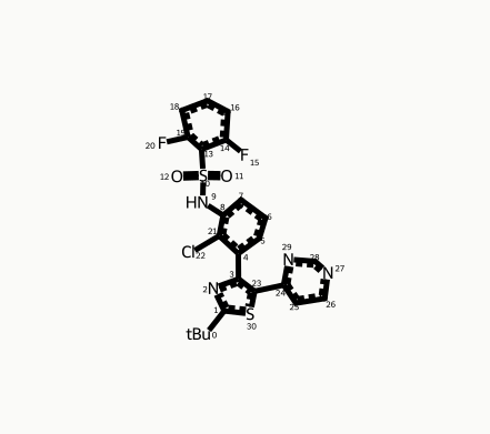 CC(C)(C)c1nc(-c2cccc(NS(=O)(=O)c3c(F)cccc3F)c2Cl)c(-c2ccncn2)s1